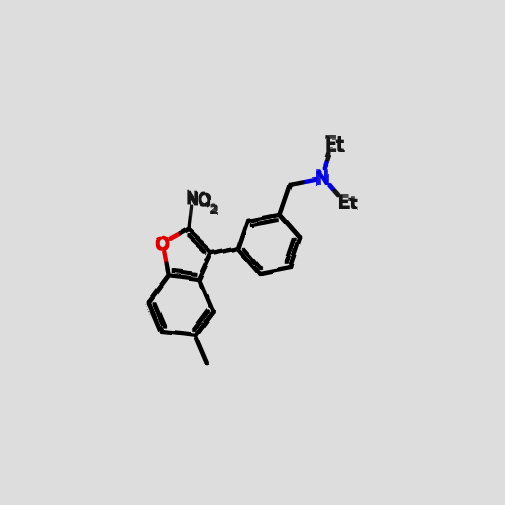 CCN(CC)Cc1cccc(-c2c([N+](=O)[O-])oc3ccc(C)cc23)c1